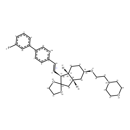 Fc1cccc(-c2ccc(/C=C/[C@H]3[C@@H]4CC[C@@H](OCCN5CCOCC5)C[C@@H]4CC34OCCO4)nc2)c1